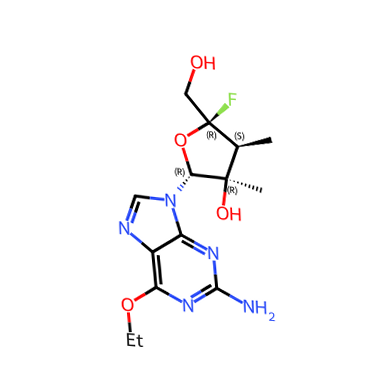 CCOc1nc(N)nc2c1ncn2[C@@H]1O[C@](F)(CO)[C@@H](C)[C@@]1(C)O